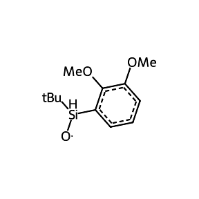 COc1cccc([SiH]([O])C(C)(C)C)c1OC